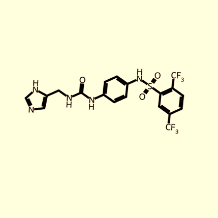 O=C(NCc1cnc[nH]1)Nc1ccc(NS(=O)(=O)c2cc(C(F)(F)F)ccc2C(F)(F)F)cc1